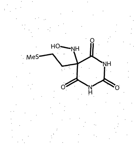 CSCCC1(NO)C(=O)NC(=O)NC1=O